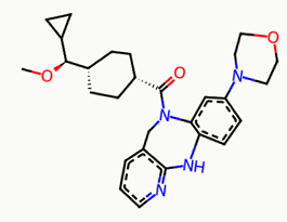 CO[C@@H](C1CC1)[C@H]1CC[C@@H](C(=O)N2Cc3cccnc3Nc3ccc(N4CCOCC4)cc32)CC1